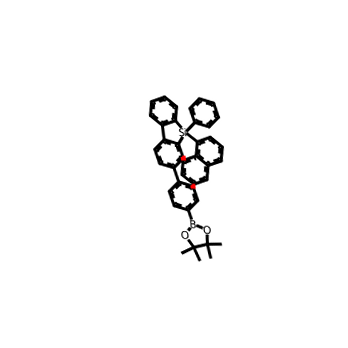 CC1(C)OB(c2ccc(-c3ccc4c(c3)[Si](c3ccccc3)(c3cccc5ccccc35)c3ccccc3-4)cc2)OC1(C)C